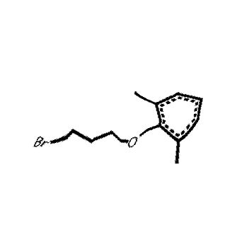 Cc1cccc(C)c1OCCCBr